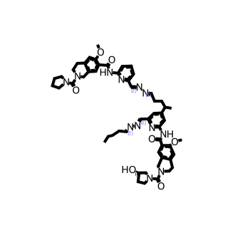 CCCC/C=N/N=C/c1cc(C(C)CC/C=N/N=C/c2cccc(NC(=O)c3cc4c(cc3OC)CCN(C(=O)N3CCCC3)C4)n2)cc(NC(=O)c2cc3c(cc2OC)CCN(C(=O)N2CC[C@@H](O)C2)C3)n1